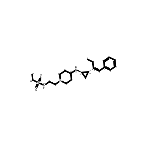 CC/C(=C\c1ccccc1)[C@@H]1C[C@H]1NC1CCN(CCNS(=O)(=O)CC)CC1